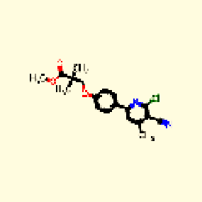 COC(=O)C(C)(C)COc1ccc(-c2cc(C)c(C#N)c(Cl)n2)cc1